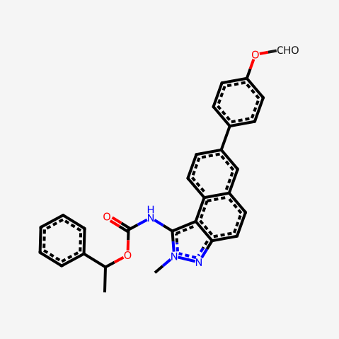 CC(OC(=O)Nc1c2c(ccc3cc(-c4ccc(OC=O)cc4)ccc32)nn1C)c1ccccc1